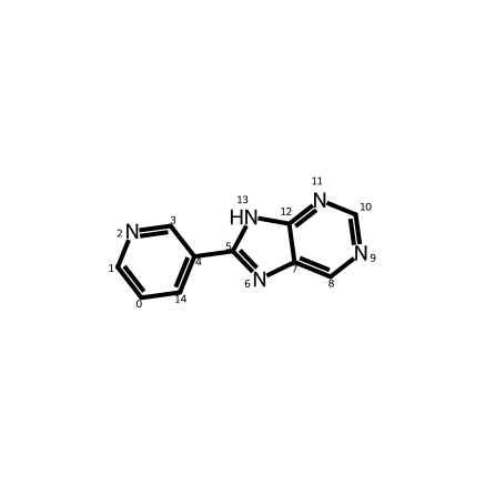 c1cncc(-c2nc3cncnc3[nH]2)c1